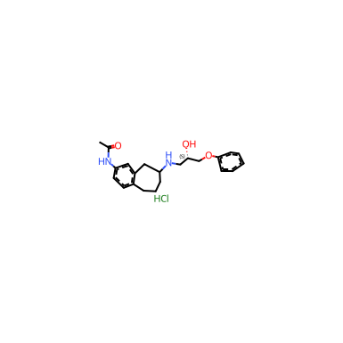 CC(=O)Nc1ccc2c(c1)CC(NC[C@H](O)COc1ccccc1)CCC2.Cl